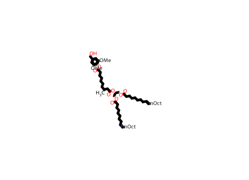 CCCCCCCCC=CCCCCCCCC(=O)OCC(COC(=O)CCCCCCC/C=C\CCCCCCCC)OC(=O)CC(C)CCCCCCC(=O)Oc1c(OC)cc(CO)cc1OC